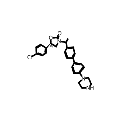 CC(c1ccc(-c2ccc(N3CCNCC3)cc2)cc1)N1C[C@@H](c2ccc(Cl)cc2)OC1=O